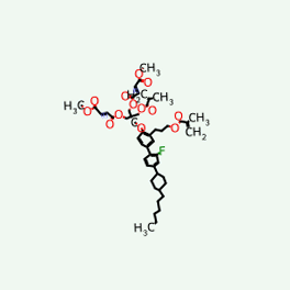 C=C(C)C(=O)OCCCc1cc(-c2ccc(C3CCC(CCCCCC)CC3)cc2F)ccc1OCC(COC(=O)/C=C/C(=O)OC)(COC(=O)/C=C/C(=O)OC)COC(=O)C(=C)C